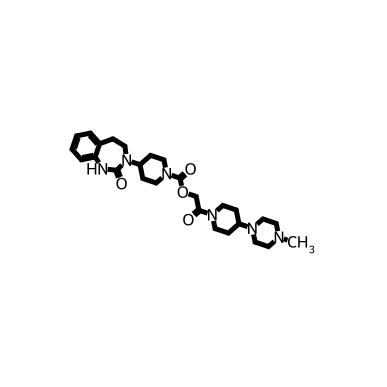 CN1CCN(C2CCN(C(=O)COC(=O)N3CCC(N4CCc5ccccc5NC4=O)CC3)CC2)CC1